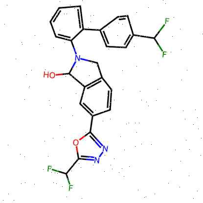 OC1c2cc(-c3nnc(C(F)F)o3)ccc2CN1c1ccccc1-c1ccc(C(F)F)cc1